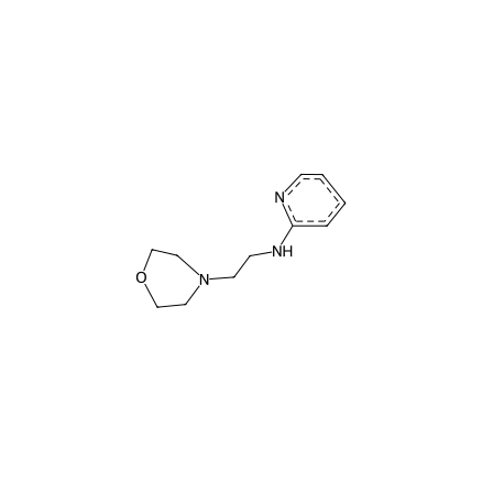 c1ccc(NCCN2CCOCC2)nc1